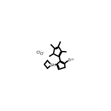 CC1=C(C)C(C)C(C2=[C]([Zr+2])CC=C2[SiH]2CCC2)=C1C.[Cl-].[Cl-]